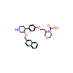 O=C(O)N1CCOCC1CCOc1ccc(C2CCNCC2OCc2ccc3ccccc3c2)cc1